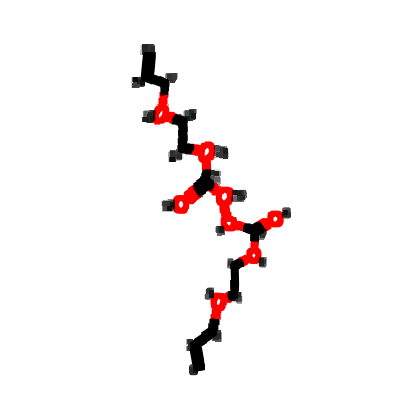 C=CCOCCOC(=O)OOC(=O)OCCOCC=C